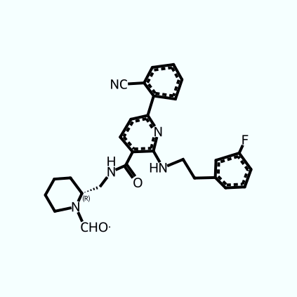 N#Cc1ccccc1-c1ccc(C(=O)NC[C@H]2CCCCN2[C]=O)c(NCCc2cccc(F)c2)n1